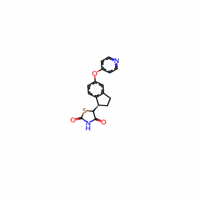 O=C1NC(=O)C([C@@H]2CCc3cc(Oc4ccncc4)ccc32)S1